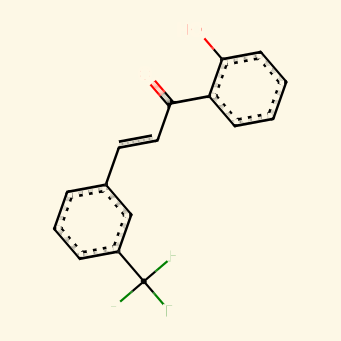 O=C(C=Cc1cccc(C(F)(F)F)c1)c1ccccc1O